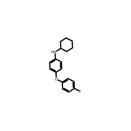 Fc1ccc(Oc2ccc(NC3CCCCC3)cc2)cc1